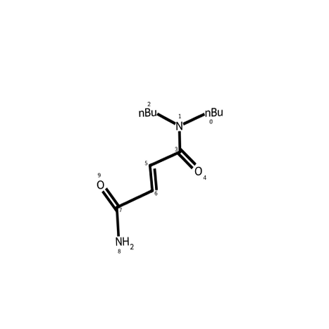 CCCCN(CCCC)C(=O)C=CC(N)=O